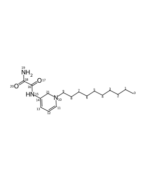 CCCCCCCCCCN1C=CC=C(NC(=O)C(N)=O)C1